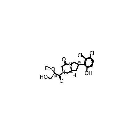 CCO[C@H](CO)C(=O)N1CC(=O)N2C[C@@H](c3c(O)ccc(Cl)c3Cl)C[C@H]2C1